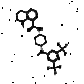 CN1CCCc2cccc(C(=O)N[C@H]3CC[C@@H](N(C)c4cc(C(F)(F)F)nc(C(F)(F)F)c4)CC3)c21